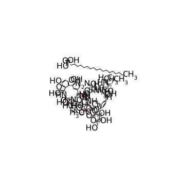 CCCCCCCCCCCCCCCCCCP(=O)(O)O.CN[C@H](CC(C)C)C(=O)N[C@H]1C(=O)N[C@@H](CC(N)=O)C(=O)N[C@H]2C(=O)N[C@H]3C(=O)N[C@H](C(=O)N[C@@H](C(=O)O)c4cc(O)cc(O)c4-c4cc3ccc4O)[C@H](O)c3ccc(c(Cl)c3)Oc3cc2cc(c3O[C@@H]2O[C@H](CO)[C@@H](O)[C@H](O)[C@H]2O[C@H]2C[C@](C)(N)C(O)[C@H](C)O2)Oc2ccc(cc2Cl)[C@H]1O